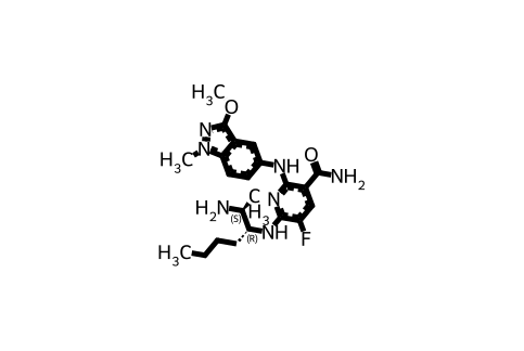 CCCC[C@@H](Nc1nc(Nc2ccc3c(c2)c(OC)nn3C)c(C(N)=O)cc1F)[C@H](C)N